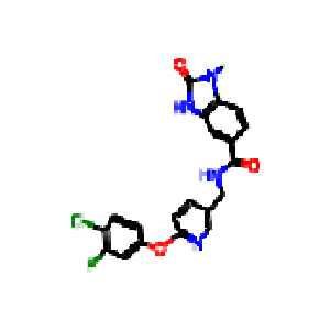 Cn1c(=O)[nH]c2cc(C(=O)NCc3ccc(Oc4ccc(Cl)c(F)c4)nc3)ccc21